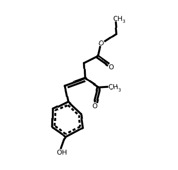 CCOC(=O)CC(=Cc1ccc(O)cc1)C(C)=O